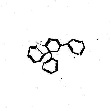 OC1=CC=C(c2ccccc2)CC1(c1ccccc1)c1ccccc1O